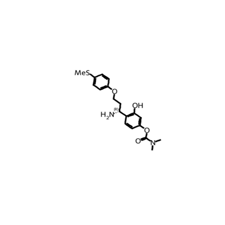 CSc1ccc(OCC[C@@H](N)c2ccc(OC(=O)N(C)C)cc2O)cc1